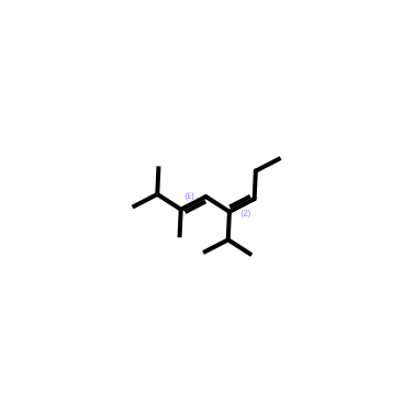 CC/C=C(\C=C(/C)C(C)C)C(C)C